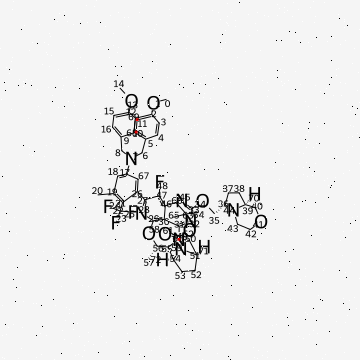 COc1ccc(CN(Cc2ccc(OC)cc2)c2cc(C)c(C(F)(F)F)c(-c3nc4c5c(nc(OC[C@@H]6CC[C@H]7COCCN76)nc5c3F)N3C[C@H]5CC[C@@H](C3[C@H](C)O4)N5C(=O)OC(C)(C)C)c2)cc1